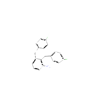 Nc1cccc(Cc2ccc(Cl)cc2)c1Cc1ccc(Cl)cc1